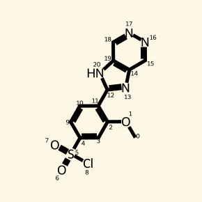 COc1cc(S(=O)(=O)Cl)ccc1-c1nc2cnncc2[nH]1